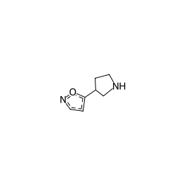 c1cc(C2CCNC2)on1